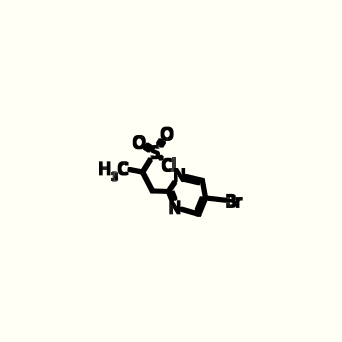 CC(Cc1ncc(Br)cn1)S(=O)(=O)Cl